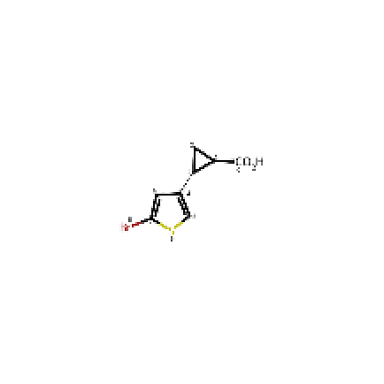 O=C(O)[C@@H]1C[C@H]1c1csc(Br)c1